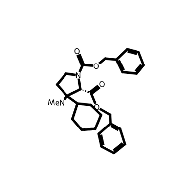 CNC1(C2CCCCC2)CCN(C(=O)OCc2ccccc2)[C@@H]1C(=O)OCc1ccccc1